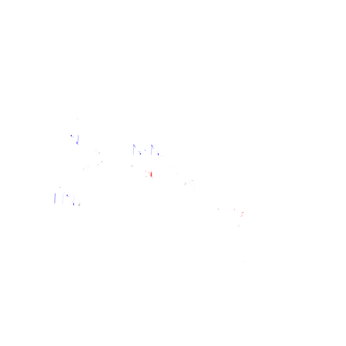 CC(c1c[nH]c2ccc(-c3nnc(CSCCOc4ccccc4)o3)cc12)N(C)C